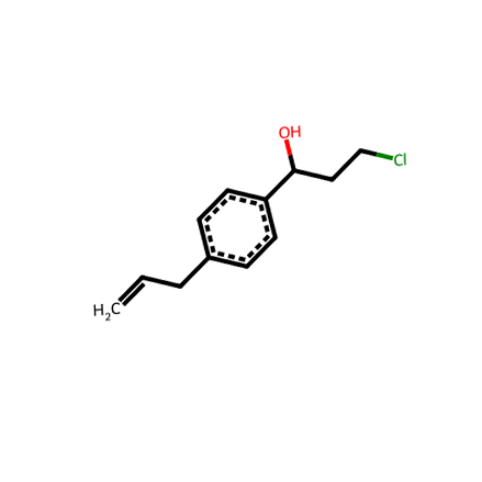 C=CCc1ccc(C(O)CCCl)cc1